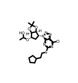 CC(O)O[C@H]1C[C@@H](n2nnc3c(Cl)nc(SCCC4CCCC4)nc32)[C@@H]2OC(C)(C)O[C@@H]21